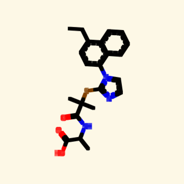 CCc1ccc(-n2ccnc2SC(C)(C)C(=O)NC(C)C(=O)O)c2ccccc12